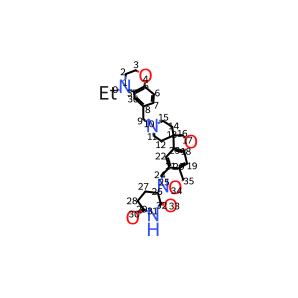 CCN1CCOc2ccc(CN3CCC4(CC3)COc3cc5c(cc34)CN(C3CCC(=O)NC3=O)OC5)cc21